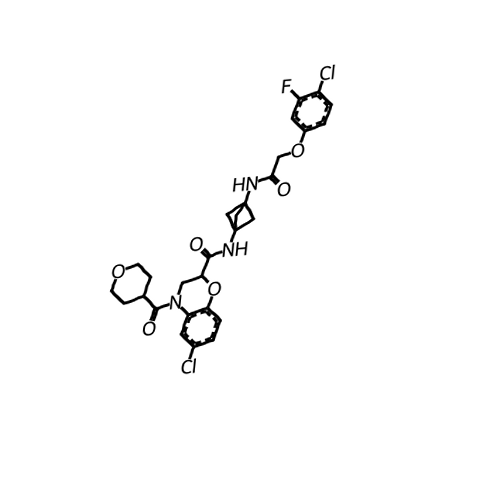 O=C(COc1ccc(Cl)c(F)c1)NC12CC(NC(=O)C3CN(C(=O)C4CCOCC4)c4cc(Cl)ccc4O3)(C1)C2